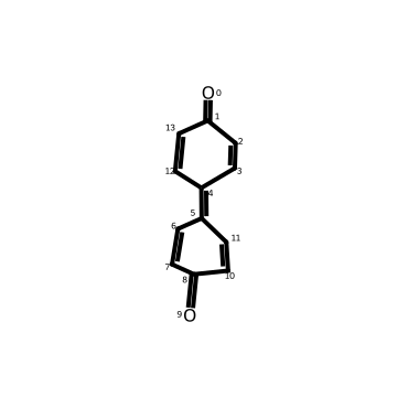 O=C1C=CC(=C2C=CC(=O)C=C2)C=C1